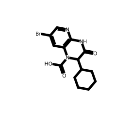 O=C1Nc2ncc(Br)cc2N(C(=O)O)C1C1CCCCC1